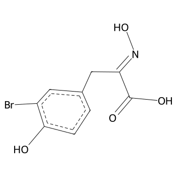 O=C(O)/C(Cc1ccc(O)c(Br)c1)=N/O